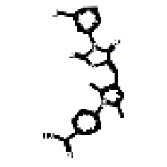 Cc1cc(/C=C2\SC(=O)N(c3cccc(Cl)c3)C2=O)c(C)n1-c1ccc(C(=O)O)cc1